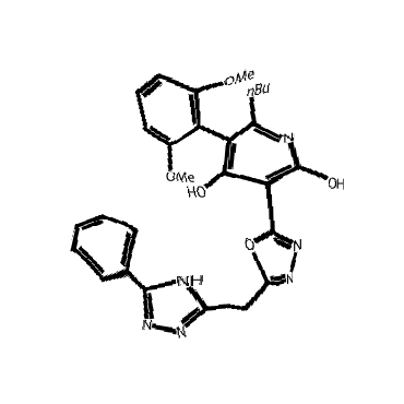 CCCCc1nc(O)c(-c2nnc(Cc3nnc(-c4ccccc4)[nH]3)o2)c(O)c1-c1c(OC)cccc1OC